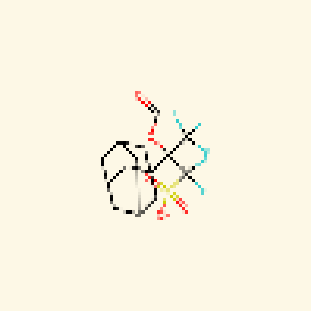 O=COC(C(F)(F)F)(C12CC3CC(CC(C3)C1)C2)C(F)(F)S(=O)(=O)O